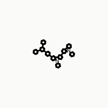 c1ccc(-c2cc(-c3ccccc3)cc(-c3ccc(-c4ccc5c(c4)c4cc(-c6ccc7c8ccccc8n(-c8ccccc8)c7c6)ccc4n5-c4ccccc4)cc3)c2)cc1